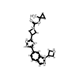 CC1(OC(=O)N2CC(c3nc(-c4ccc5cnn(C6COC6)c5c4)no3)C2)CC1